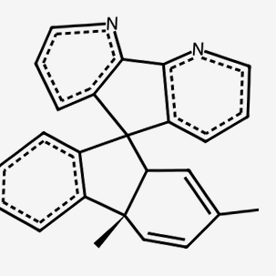 CC1=CC2C3(c4ccccc4[C@@]2(C)C=C1)c1cccnc1-c1ncccc13